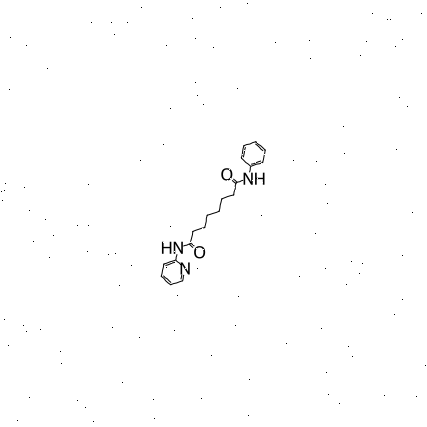 O=C(CCCCCCC(=O)Nc1ccccn1)Nc1ccccc1